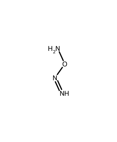 N=NON